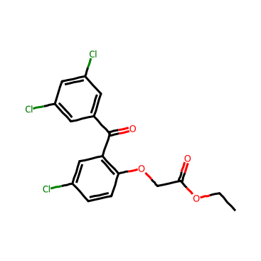 CCOC(=O)COc1ccc(Cl)cc1C(=O)c1cc(Cl)cc(Cl)c1